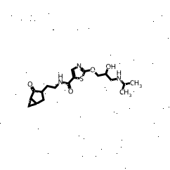 CC(C)NCC(O)COc1ncc(C(=O)NCCC2CC3CC3C2=O)s1